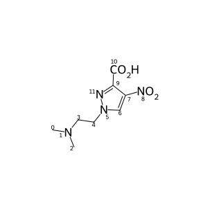 CN(C)CCn1cc([N+](=O)[O-])c(C(=O)O)n1